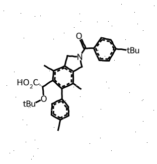 Cc1ccc(-c2c(C)c3c(c(C)c2[C@H](OC(C)(C)C)C(=O)O)CN(C(=O)c2ccc(C(C)(C)C)cc2)C3)cc1